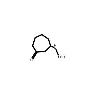 O=[C]NC1CCCCC(=O)C1